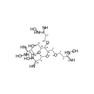 N=C(CCOCC(OCCC(=N)NO)C(OCCC(=N)NO)C(CO)OCCC(=N)NO)NO